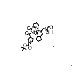 CC(C)(C)OC(=O)N1CCC(C(=O)NC(=O)[C@@H]2CCCN2C(=O)[C@H](CC2CCCC2)CN(O)C=O)C1